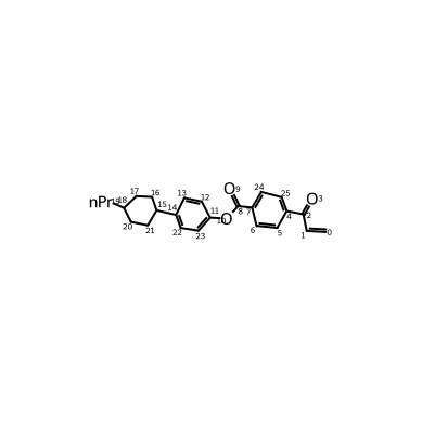 C=CC(=O)c1ccc(C(=O)Oc2ccc(C3CCC(CCC)CC3)cc2)cc1